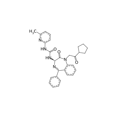 Cc1cccc(NC(=O)N[C@@H]2N=C(c3ccccc3)c3ccccc3N(CC(=O)C3CCCC3)C2=O)n1